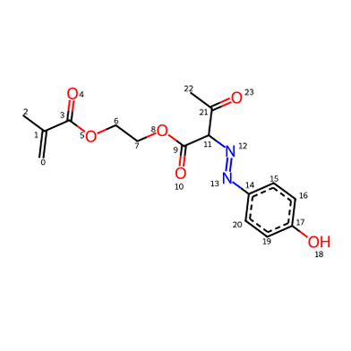 C=C(C)C(=O)OCCOC(=O)C(N=Nc1ccc(O)cc1)C(C)=O